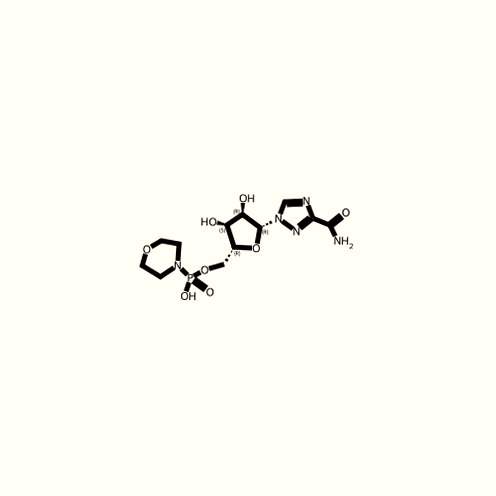 NC(=O)c1ncn([C@@H]2O[C@H](COP(=O)(O)N3CCOCC3)[C@@H](O)[C@H]2O)n1